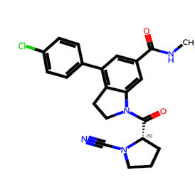 CNC(=O)c1cc(-c2ccc(Cl)cc2)c2c(c1)N(C(=O)[C@@H]1CCCN1C#N)CC2